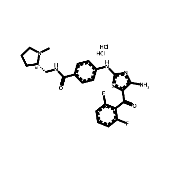 CN1CCC[C@H]1CNC(=O)c1ccc(Nc2nc(N)c(C(=O)c3c(F)cccc3F)s2)cc1.Cl.Cl